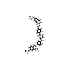 O=[N+]([O-])c1cn2c(n1)OC(COc1ccc(N3CCN(Cc4ccc(OCc5ccc(C(F)(F)F)cc5C(F)(F)F)cc4)CC3)cc1)CC2